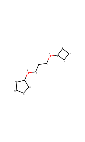 [CH](CCOC1CCC1)OC1CCCC1